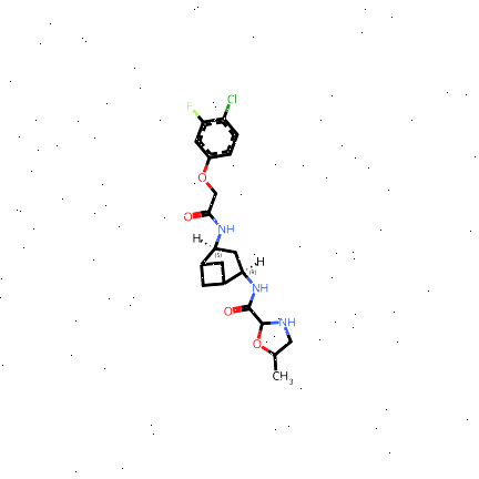 CC1CNC(C(=O)N[C@@H]2C[C@H](NC(=O)COc3ccc(Cl)c(F)c3)C3CC2C3)O1